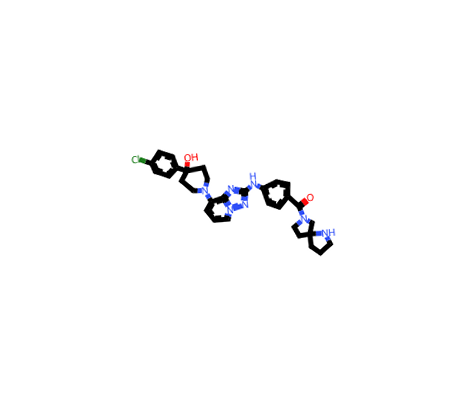 O=C(c1ccc(Nc2nc3c(N4CCC(O)(c5ccc(Cl)cc5)CC4)cccn3n2)cc1)N1CCC2(CCCN2)C1